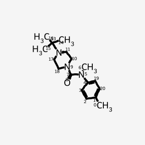 Cc1ccc(N(C)C(=O)N2CCN(C(C)(C)C)CC2)cc1